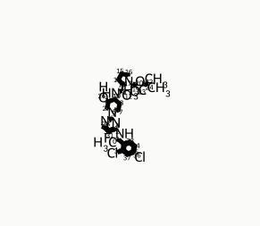 C[C@@H](Nc1nc(N2CC[C@H](NC(=O)[C@H]3CCCN3C(=O)OC(C)(C)C)[C@H](O)C2)ncc1F)c1ccc(Cl)cc1Cl